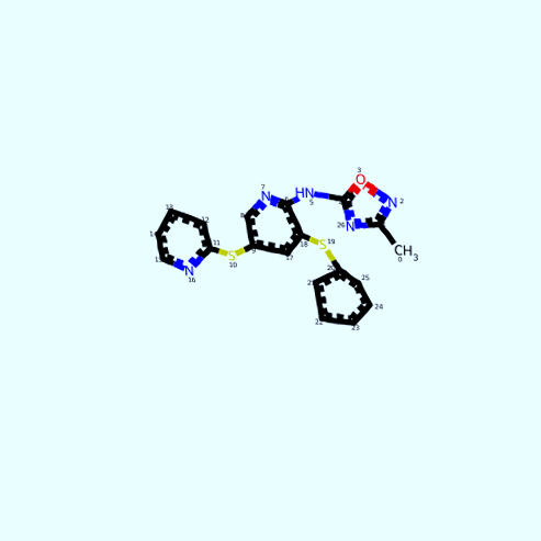 Cc1noc(Nc2ncc(Sc3ccccn3)cc2Sc2ccccc2)n1